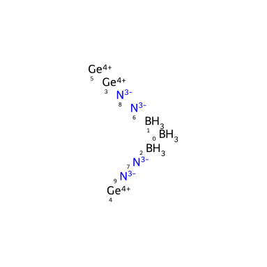 B.B.B.[Ge+4].[Ge+4].[Ge+4].[N-3].[N-3].[N-3].[N-3]